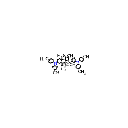 Cc1ccc(N(c2ccc(C#N)cc2)c2ccc3c(c2)C(C)(C)c2c-3c(C)c(C)c3c2C(C)(C)c2cc(N(c4ccc(C)cc4)c4ccc(C#N)cc4)ccc2-3)cc1